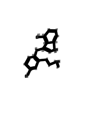 CNCCc1cc(Cl)ccc1Sc1c[nH]c2cccc(Cl)c12